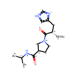 CC(=O)N[C@@H](Cc1c[nH]cn1)C(=O)N1CCC(C(=O)NC(C(C)=O)C(C)C)C1